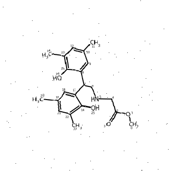 COC(=O)CNCC(c1cc(C)cc(C)c1O)c1cc(C)cc(C)c1O